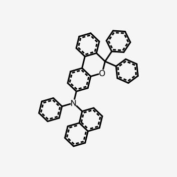 c1ccc(N(c2ccc3c(c2)OC(c2ccccc2)(c2ccccc2)c2ccccc2-3)c2cccc3ccccc23)cc1